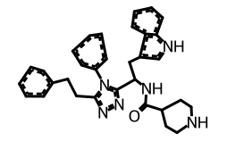 O=C(NC(Cc1c[nH]c2ccccc12)c1nnc(CCc2ccccc2)n1-c1ccccc1)C1CCNCC1